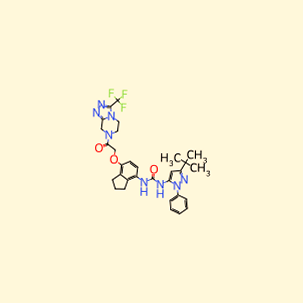 CC(C)(C)c1cc(NC(=O)Nc2ccc(OCC(=O)N3CCn4c(nnc4C(F)(F)F)C3)c3c2CCC3)n(-c2ccccc2)n1